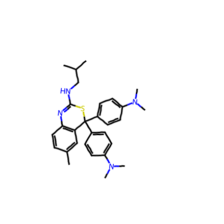 Cc1ccc2c(c1)C(c1ccc(N(C)C)cc1)(c1ccc(N(C)C)cc1)SC(NCC(C)C)=N2